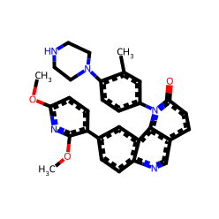 COc1ccc(-c2ccc3ncc4ccc(=O)n(-c5ccc(N6CCNCC6)c(C)c5)c4c3c2)c(OC)n1